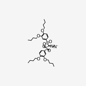 CCCCOc1ccc(S(=O)(=O)C(=[N+]=[N-])S(=O)(=O)c2ccc(OCCCC)c(OCCCC)c2)cc1OCCCC